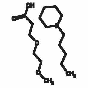 CCCCCN1CCCCC1.COCCOCCC(=O)O